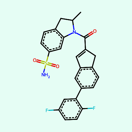 CC1Cc2ccc(S(N)(=O)=O)cc2N1C(=O)C1=Cc2cc(-c3cc(F)ccc3F)ccc2C1